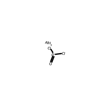 [AlH3].[O]=[Zr]([Cl])[Cl]